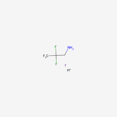 NCC(F)(F)C(F)(F)F.[H+].[I-]